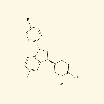 CC(C)C1CN([C@@H]2C[C@@H](c3ccc(F)cc3)c3ccc(Cl)cc32)CCN1C